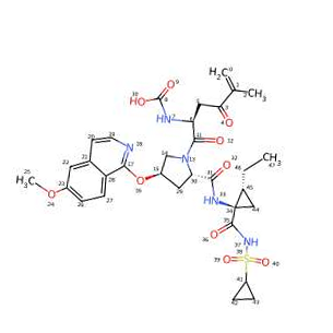 C=C(C)C(=O)C[C@H](NC(=O)O)C(=O)N1C[C@H](Oc2nccc3cc(OC)ccc23)C[C@H]1C(=O)N[C@]1(C(=O)NS(=O)(=O)C2CC2)C[C@H]1CC